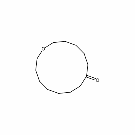 O=C1CCCCCCCOCCCCC1